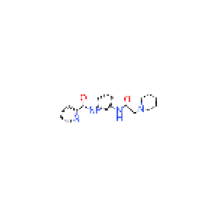 O=C(CN1CCCCC1)Nc1cccc(NC(=O)c2ccccn2)c1